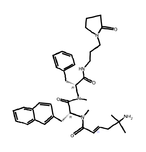 CN(C(=O)/C=C/CC(C)(C)N)[C@H](Cc1ccc2ccccc2c1)C(=O)N(C)[C@H](Cc1ccccc1)C(=O)NCCCN1CCCC1=O